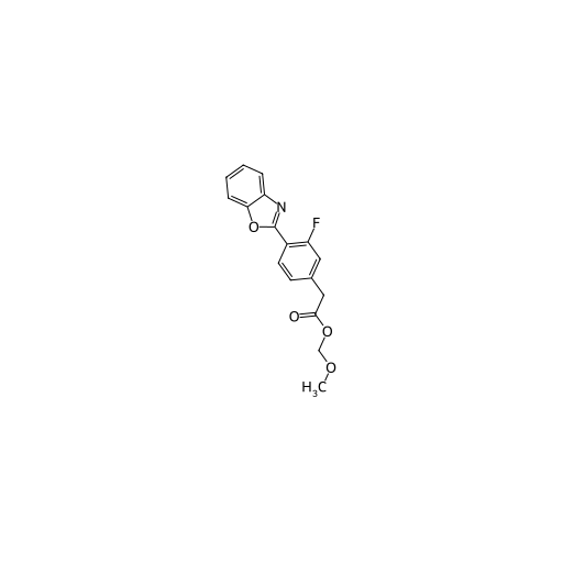 COCOC(=O)Cc1ccc(-c2nc3ccccc3o2)c(F)c1